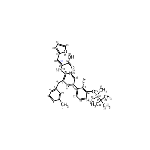 Cc1cccc(Cc2nc(-c3cccc(O[Si](C)(C)C(C)(C)C)c3F)cnc2N/C(=C/c2ccco2)C(=O)O)c1